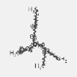 CCCCCC=CCCOC(=O)CCCCCC(=O)OCc1cc(COC(=O)CCC(OCCCCCCCC)OCCCCCCCC)cc(COC(=O)OCC2CCCN(CC)C2)c1